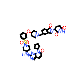 O=C1CCC(N2Cc3cc(CN4CCC(Oc5cccc(S(=O)(=O)N6CCC(Nc7ncc8ccc(=O)n(C9CCCC9)c8n7)CC6)c5)CC4)ccc3C2=O)C(=O)N1